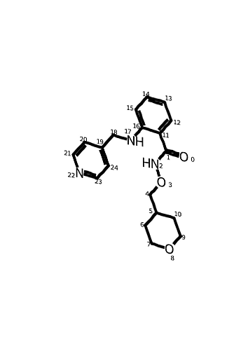 O=C(NOCC1CCOCC1)c1ccccc1NCc1ccncc1